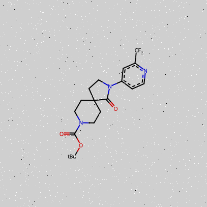 CC(C)(C)OC(=O)N1CCC2(CC1)CCN(c1ccnc(C(F)(F)F)c1)C2=O